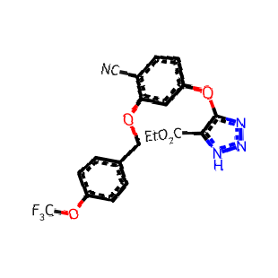 CCOC(=O)c1[nH]nnc1Oc1ccc(C#N)c(OCc2ccc(OC(F)(F)F)cc2)c1